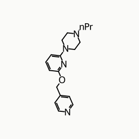 CCCN1CCN(c2cccc(OCc3ccncc3)n2)CC1